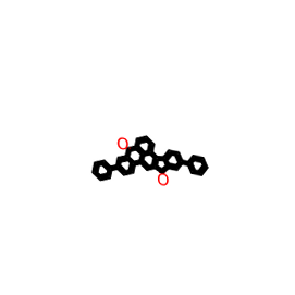 O=C1c2cc(-c3ccccc3)ccc2-c2c1cc1c3c(cccc23)C(=O)c2cc(-c3ccccc3)ccc2-1